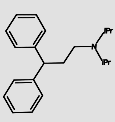 CC(C)N(CCC(c1ccccc1)c1ccccc1)C(C)C